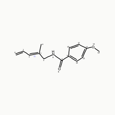 C=C/C=C(\C)CNC(=O)c1ccc(OC)cc1